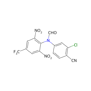 N#Cc1ccc(N(C=O)c2c([N+](=O)[O-])cc(C(F)(F)F)cc2[N+](=O)[O-])cc1Cl